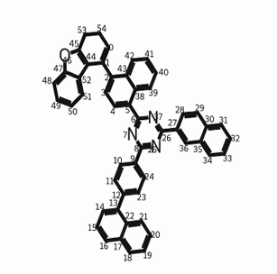 C1=C(c2ccc(-c3nc(-c4ccc(-c5cccc6ccccc56)cc4)nc(-c4ccc5ccccc5c4)n3)c3ccccc23)c2c(oc3ccccc23)CC1